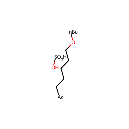 CCCCOCCCCCC(C)=O.O=S(=O)(O)O